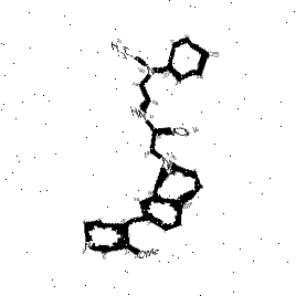 COc1cnccc1-c1ccc2ccn(CC(=O)NCCN(C)C3CCCCC3)c2c1